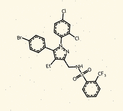 CCc1c(CNS(=O)(=O)c2ccccc2C(F)(F)F)nn(-c2ccc(Cl)cc2Cl)c1-c1ccc(Br)cc1